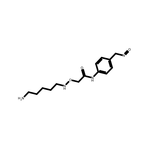 NCCCCCNOCC(=O)Nc1ccc(CN=O)cc1